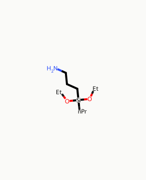 CCC[Si](CCCN)(OCC)OCC